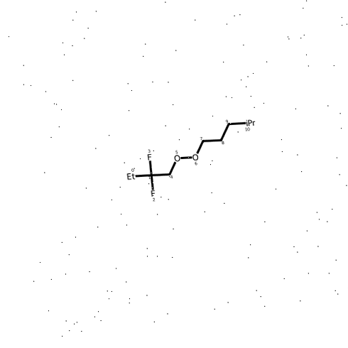 CCC(F)(F)COOCCCC(C)C